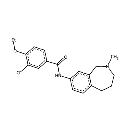 CCOc1ccc(C(=O)Nc2ccc3c(c2)CN(C)CCC3)cc1Cl